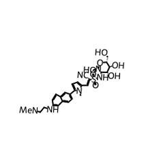 CNCCNc1ccc2cc(-c3ccc(/C=C(\C#N)S(=O)(=O)N[C@@H]4[C@@H](O)[C@H](O)[C@@H](CO)ON4O)n3C)ccc2c1